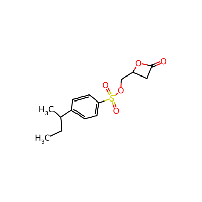 CCC(C)c1ccc(S(=O)(=O)OCC2CC(=O)O2)cc1